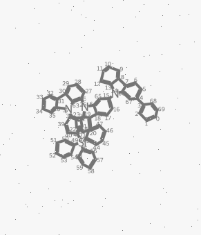 c1ccc(-c2ccc3c4ccccc4n(-c4ccc5c6ccccc6n(-c6cccc7c8ccccc8n(-c8ccc([Si](c9ccccc9)(c9ccccc9)c9ccccc9)cc8)c67)c5c4)c3c2)cc1